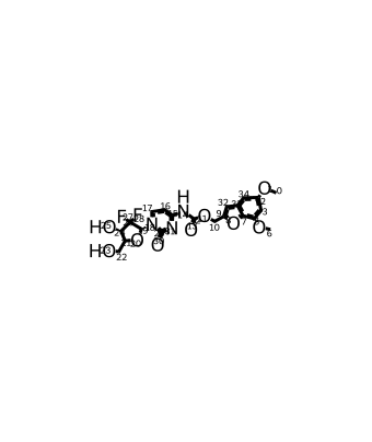 COc1cc(OC)c2oc(COC(=O)Nc3ccn([C@@H]4OC(CO)[C@@H](O)C4(F)F)c(=O)n3)cc2c1